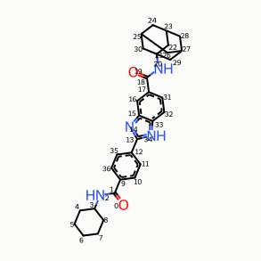 O=C(NC1CCCCC1)c1ccc(-c2nc3cc(C(=O)NC45CC6CC(CC(C6)C4)C5)ccc3[nH]2)cc1